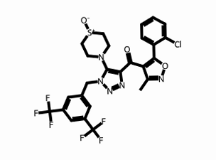 Cc1noc(-c2ccccc2Cl)c1C(=O)c1nnn(Cc2cc(C(F)(F)F)cc(C(F)(F)F)c2)c1N1CC[S+]([O-])CC1